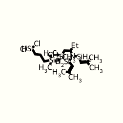 CCC(C[Si](C)(C)O[Si](C)(C)CCC[SiH](Cl)Cl)N([SiH2]C=C(C)C)[SiH2]C=C(C)C